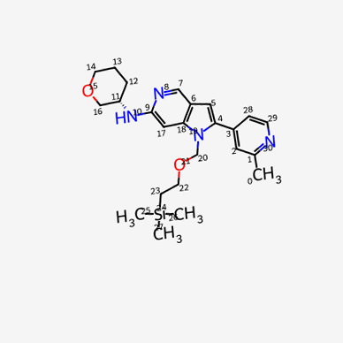 Cc1cc(-c2cc3cnc(N[C@H]4CCCOC4)cc3n2COCC[Si](C)(C)C)ccn1